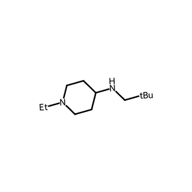 CCN1CCC(NCC(C)(C)C)CC1